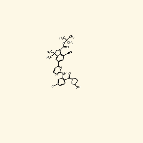 CC(C)(C)OC(=O)N1CC(C)(C)c2cc(-c3ccnc(Nc4cc(Cl)cnc4C(=O)N4CCC(O)C4)n3)cc(C#N)c21